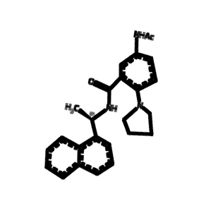 CC(=O)Nc1ccc(N2CCCC2)c(C(=O)N[C@H](C)c2cccc3ccccc23)c1